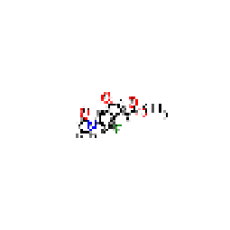 COC(=O)CC1CC(=O)c2cc(N3CCCC3=O)cc(F)c21